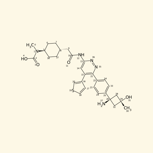 CN(C(=O)O)[C@H]1CC[C@H](CC(=O)Nc2cc(-c3ccsc3)c(-c3ccc([C@]4(N)C[C@](C)(O)C4)cc3)nn2)CC1